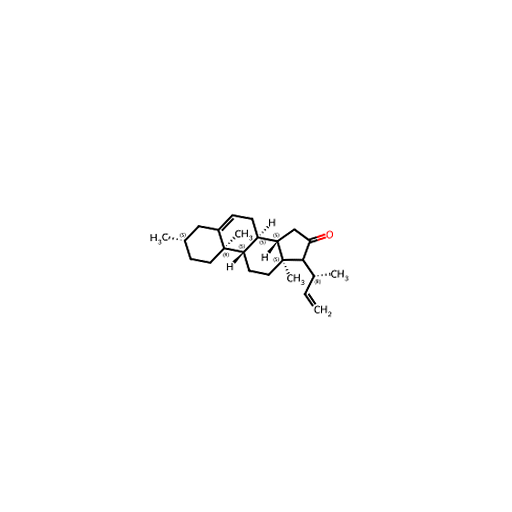 C=C[C@@H](C)C1C(=O)C[C@H]2[C@@H]3CC=C4C[C@@H](C)CC[C@]4(C)[C@H]3CC[C@]12C